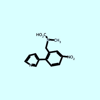 CN(Cc1cc([N+](=O)[O-])ccc1-c1cccnc1)C(=O)O